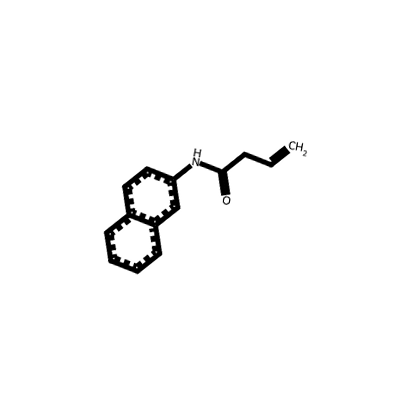 C=CCC(=O)Nc1ccc2ccccc2c1